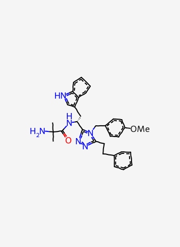 COc1ccc(Cn2c(CCc3ccccc3)nnc2[C@@H](Cc2c[nH]c3ccccc23)NC(=O)C(C)(C)N)cc1